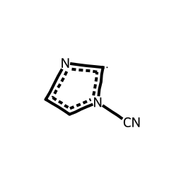 N#Cn1[c]ncc1